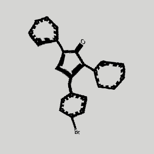 O=C1C(c2ccccc2)=CC(c2ccc(Br)cc2)=C1c1ccccc1